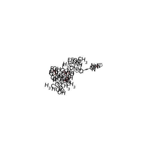 COC(=O)N[C@H](C(=O)N[C@@H](Cc1ccc(C#Cc2cnc(N3CC4CCC(C3)N4C3COC3)nc2)cc1)[C@H](CN(Cc1c(F)cc(-c2ccn(C(F)F)n2)cc1F)NC(=O)[C@@H](NC(=O)OC)C(C)(C)C(F)(F)F)OC(=O)OCOC(=O)CC(C)(C)c1c(CC(=O)N[C@@H](CC(=O)O)C(=O)O)cc(C)cc1OP(=O)(O)O)C(C)(C)C(F)(F)F